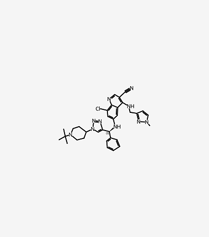 Cn1ccc(CNc2c(C#N)cnc3c(Cl)cc(N[C@@H](c4ccccc4)c4cn(C5CCN(C(C)(C)C)CC5)nn4)cc23)n1